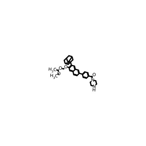 COC(C)OCOc1cc2ccc(-c3ccc(C(=O)N4CCNCC4)cc3)cc2cc1C12CC3CC(CC(C3)C1)C2